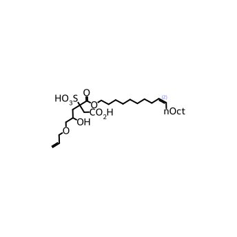 C=CCOCC(O)CC(CC(=O)O)(C(=O)OCCCCCCCC/C=C\CCCCCCCC)S(=O)(=O)O